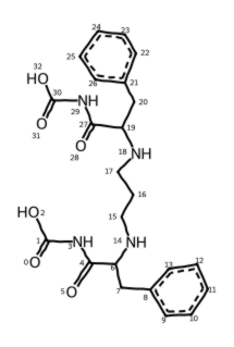 O=C(O)NC(=O)C(Cc1ccccc1)NCCCNC(Cc1ccccc1)C(=O)NC(=O)O